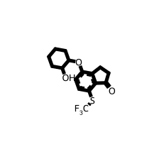 O=C1CCc2c(OC3CCCCC3O)ccc(SC(F)(F)F)c21